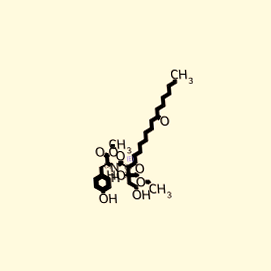 CCCCCCCC(=O)CCCCCC/C=C/[C@H](C(=O)N[C@@H](Cc1ccc(O)cc1)C(=O)OC)[C@@](O)(CCO)C(=O)OCC